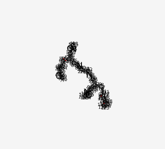 CC1(C)c2cc(-c3cccc(-c4cc(-c5ccc(/C=N/c6cccc(-c7ccc8c(c7)N=C(c7ccc(-c9cc(-c%10ccc(-c%11nc%12ccccc%12o%11)cc%10)cc(-c%10cccc(-c%11ccc%12c(c%11)C(C)(C)c%11cc%13oc%14ccccc%14c%13cc%11-%12)c%10)c9)cc7)C8)c6)cc5)cc(-c5ccc(-c6nc7ccccc7o6)cc5)c4)c3)ccc2-c2cc3c(cc21)C1C=CC=CC1C3(C)C